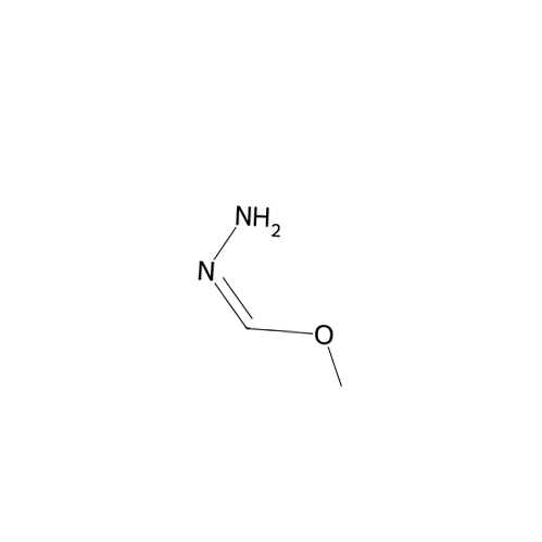 CO/C=N\N